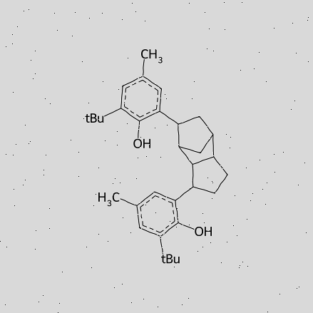 Cc1cc(C2CC3CC2C2C(c4cc(C)cc(C(C)(C)C)c4O)CCC32)c(O)c(C(C)(C)C)c1